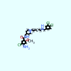 COc1cc(N)c(Cl)cc1C(=O)NCC1CCN(CCCCCCNCc2ccc(Cl)c(Cl)c2)CC1